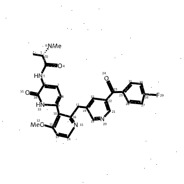 CN[C@@H](C)C(=O)Nc1ccc(-c2c(OC)ccnc2Cc2cncc(C(=O)c3ccc(F)cc3)c2)[nH]c1=O